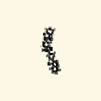 O=C(Nc1ccc(-c2nc3cc(NC(=O)c4ccccc4F)ncc3[nH]2)cc1)c1ccccc1F